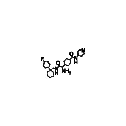 NC(C(=O)NCC1(c2ccc(F)cc2)CCCCC1)C1CCC(C(=O)Nc2ccncc2)CC1